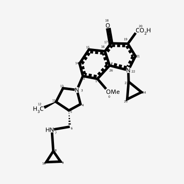 COc1c(N2C[C@H](CNC3CC3)[C@@H](C)C2)ccc2c(=O)c(C(=O)O)cn(C3CC3)c12